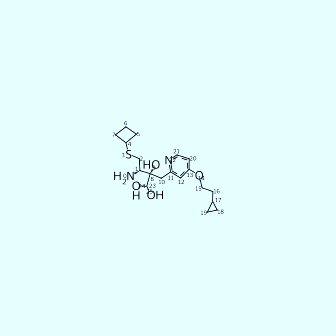 N[C@@H](CSC1CCC1)[C@](O)(Cc1cc(OCCC2CC2)ccn1)C(O)O